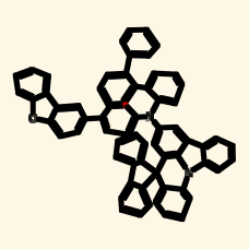 c1ccc(-c2ccccc2-c2ccccc2N(c2ccc(-c3ccc4oc5ccccc5c4c3)cc2)c2cc3c4c(c2)c2ccccc2n4-c2ccccc2C32c3ccccc3-c3ccccc32)cc1